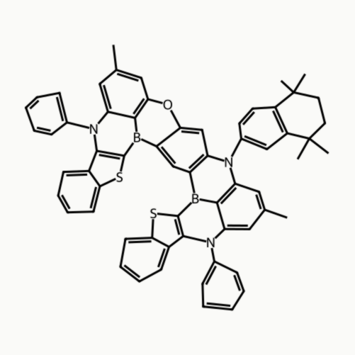 Cc1cc2c3c(c1)N(c1ccccc1)c1c(sc4ccccc14)B3c1cc3c(cc1O2)N(c1ccc2c(c1)C(C)(C)CCC2(C)C)c1cc(C)cc2c1B3c1sc3ccccc3c1N2c1ccccc1